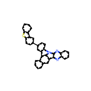 c1ccc2c(c1)cc1c3nc4ccccc4nc3n3c4ccc(-c5ccc6sc7ccccc7c6c5)cc4c2c13